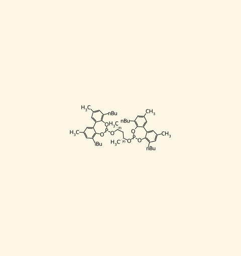 CCCCc1cc(C)cc2c1op(O[C@H](C)C[C@@H](C)Op1oc3c(CCCC)cc(C)cc3c3cc(C)cc(C(C)CC)c3o1)oc1c(CCCC)cc(C)cc12